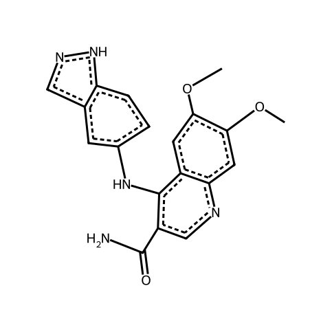 COc1cc2ncc(C(N)=O)c(Nc3ccc4[nH]ncc4c3)c2cc1OC